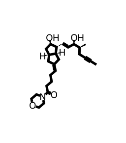 CC#CC[C@H](C)[C@H](O)C=C[C@@H]1[C@H]2CC(=CCCCC(=O)N3CCOCC3)C[C@H]2C[C@H]1O